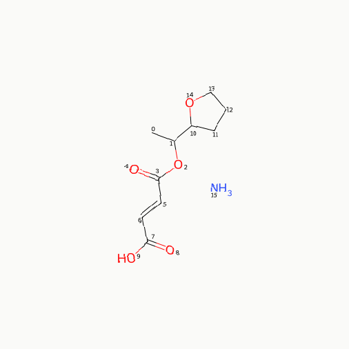 CC(OC(=O)/C=C/C(=O)O)C1CCCO1.N